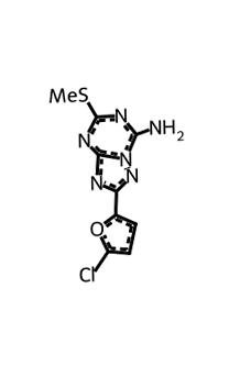 CSc1nc(N)n2nc(-c3ccc(Cl)o3)nc2n1